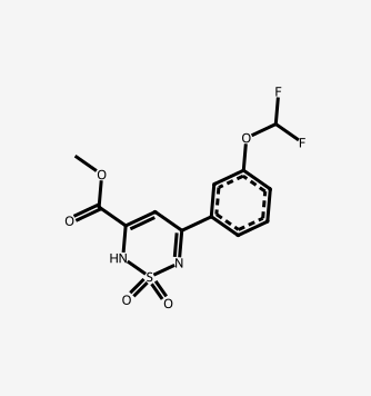 COC(=O)C1=CC(c2cccc(OC(F)F)c2)=NS(=O)(=O)N1